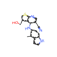 Cc1c(Nc2c(C#N)cnc3scc(CO)c23)ccc2[nH]ccc12